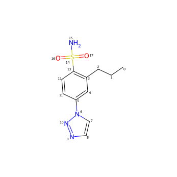 CCCc1cc(-n2ccnn2)ccc1S(N)(=O)=O